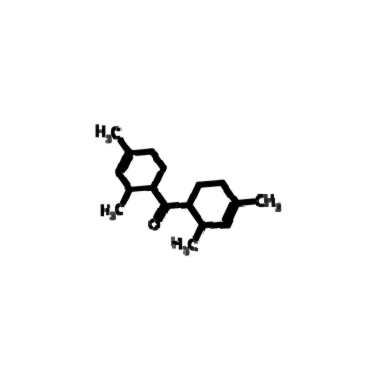 CC1=CC(C)C(C(=O)C2CCC(C)=CC2C)CC1